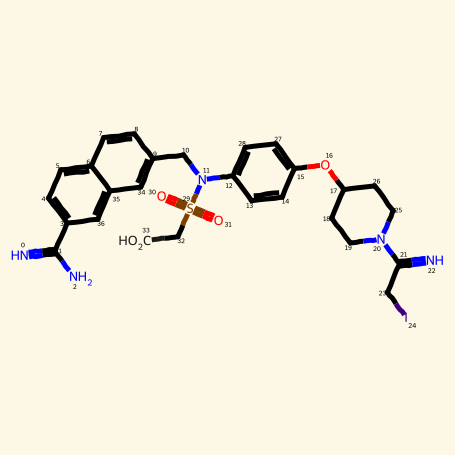 N=C(N)c1ccc2ccc(CN(c3ccc(OC4CCN(C(=N)CI)CC4)cc3)S(=O)(=O)CC(=O)O)cc2c1